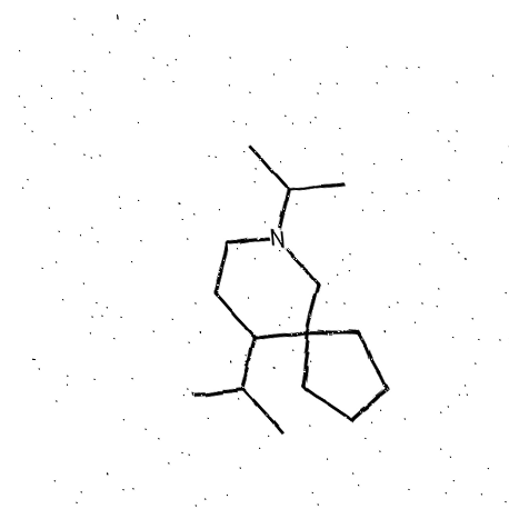 CC(C)C1CCN(C(C)C)CC12CCCC2